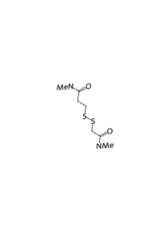 CNC(=O)CCSSCC(=O)NC